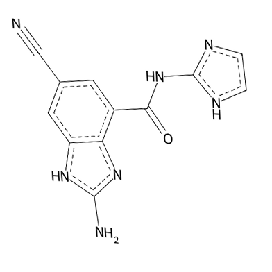 N#Cc1cc(C(=O)Nc2ncc[nH]2)c2nc(N)[nH]c2c1